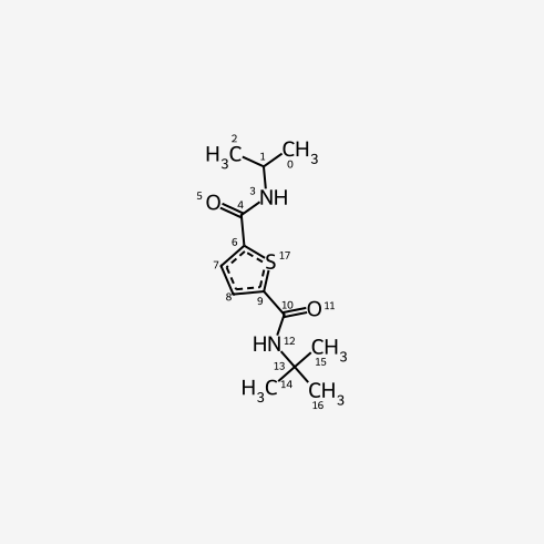 CC(C)NC(=O)c1ccc(C(=O)NC(C)(C)C)s1